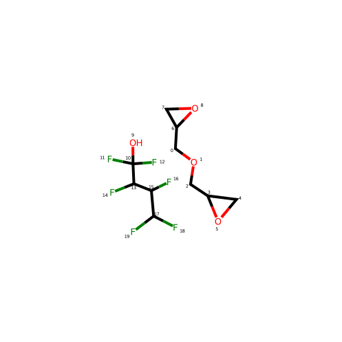 C(OCC1CO1)C1CO1.OC(F)(F)C(F)C(F)C(F)F